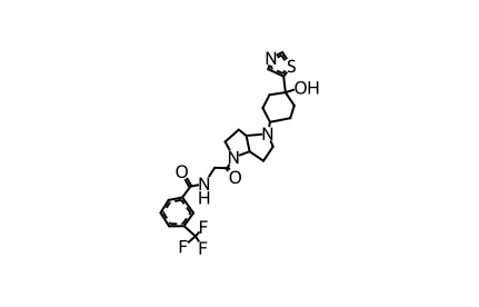 O=C(NCC(=O)N1CCC2C1CCN2C1CCC(O)(c2cncs2)CC1)c1cccc(C(F)(F)F)c1